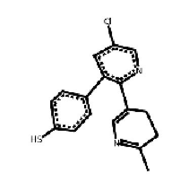 CC1=NC=C(c2ncc(Cl)cc2-c2ccc(S)cc2)CC1